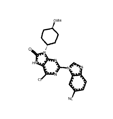 CO[C@H]1CC[C@H](n2c(=O)[nH]c3c(Cl)nc(-n4cnc5ccc(C#N)cc54)nc32)CC1